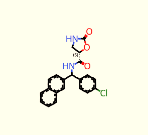 O=C1NC[C@@H](C(=O)NC(c2ccc(Cl)cc2)c2ccc3ccccc3c2)O1